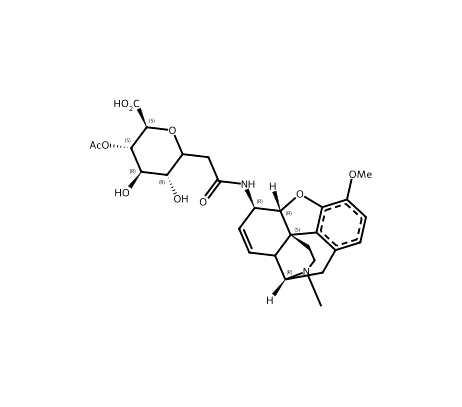 COc1ccc2c3c1O[C@H]1[C@H](NC(=O)CC4O[C@H](C(=O)O)[C@@H](OC(C)=O)[C@H](O)[C@H]4O)C=CC4[C@@H](C2)N(C)CC[C@@]341